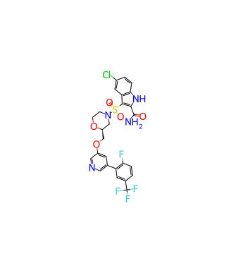 NC(=O)c1[nH]c2ccc(Cl)cc2c1S(=O)(=O)N1CCO[C@H](COc2cncc(-c3cc(C(F)(F)F)ccc3F)c2)C1